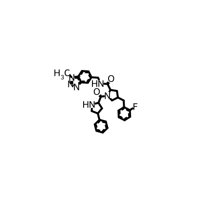 Cn1nnc2cc(CNC(=O)C3CC(Cc4ccccc4F)CN3C(=O)C3CC(c4ccccc4)CN3)ccc21